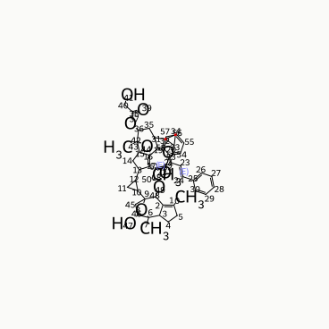 CC1=C2C(CC1)C1(C)OC(C3CC3C3CC4C(=C3C)C(OC(=O)/C=C/c3ccccc3)C3(C5CC5)CC(OC(=O)CO)C4(C)O3)(CC1O)C2OC/C=C/c1ccccc1